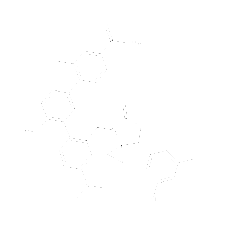 COC(=O)c1ccc(-c2ccc(OC)c(-c3cnc(N(C)C)nc3CN3C(=O)OC(c4cc(C(F)(F)F)cc(C(F)(F)F)c4)C34CC4)c2)c(C)c1